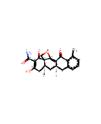 Cc1cccc2c1C(=O)C1=C3OCC34C(=O)C(C(N)=O)=C(O)C[C@@H]4C[C@@H]1C2